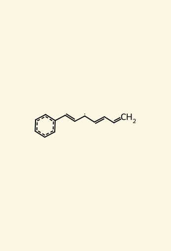 C=CC=C[CH]C=Cc1ccccc1